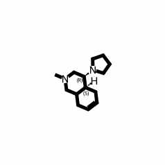 CN1CC2CC=CC[C@@H]2[C@@H](N2CCCC2)C1